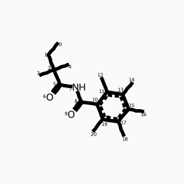 CCC(C)(C)C(=O)NC(=O)c1c(C)c(C)c(C)c(C)c1C